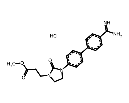 COC(=O)CCN1CCN(c2ccc(-c3ccc(C(=N)N)cc3)cc2)C1=O.Cl